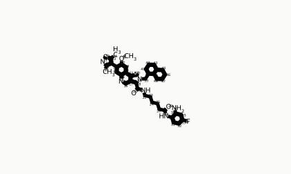 COc1cc2c(cc1-c1c(C)noc1C)ncc1c(C(=O)NCCCCCC(=O)Nc3ccc(F)cc3N)n(Cc3cccc4ccccc34)nc12